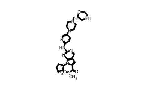 CN(C)C(=O)c1cc2cnc(Nc3ccc(N4CCN(C[C@H]5CNCCO5)CC4)cn3)nc2n1C1CCCC1